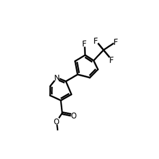 COC(=O)c1ccnc(-c2ccc(C(F)(F)F)c(F)c2)c1